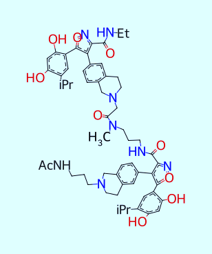 CCNC(=O)c1noc(-c2cc(C(C)C)c(O)cc2O)c1-c1ccc2c(c1)CCN(CC(=O)N(C)CCCNC(=O)c1noc(-c3cc(C(C)C)c(O)cc3O)c1-c1ccc3c(c1)CCN(CCCNC(C)=O)C3)C2